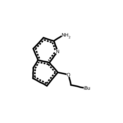 CCC(C)COc1cccc2ccc(N)nc12